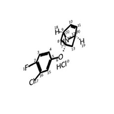 Cl.Fc1ccc(O[C@@H]2C[C@H]3C=C[C@@H](C2)N3)cc1Cl